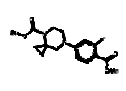 COC(=O)c1ccc(N2CCN(C(=O)OC(C)(C)C)C3(CC3)C2)cc1F